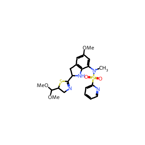 COc1cc2c(c(N(C)S(=O)(=O)c3ccccn3)c1)NC(C1=NCC(C(OC)OC)S1)C2